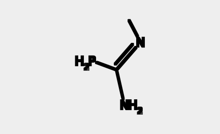 CN=C(N)P